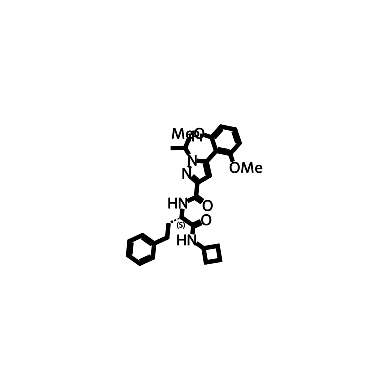 COc1cccc(OC)c1-c1cc(C(=O)N[C@@H](CCc2ccccc2)C(=O)NC2CCC2)nn1C(C)C(C)C